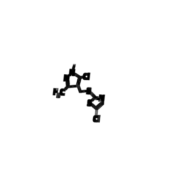 Cn1nc(C(F)(F)F)c(CSc2ncc(Cl)s2)c1Cl